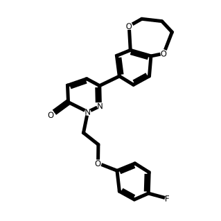 O=c1ccc(-c2ccc3c(c2)OCCCO3)nn1CCOc1ccc(F)cc1